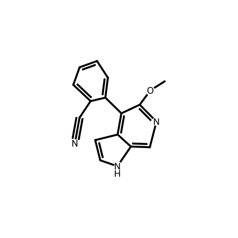 COc1ncc2[nH]ccc2c1-c1ccccc1C#N